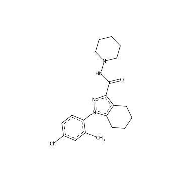 Cc1cc(Cl)ccc1-n1nc(C(=O)NN2CCCCC2)c2c1CCCC2